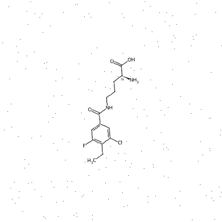 CCc1c(F)cc(C(=O)NCCC[C@H](N)C(=O)O)cc1Cl